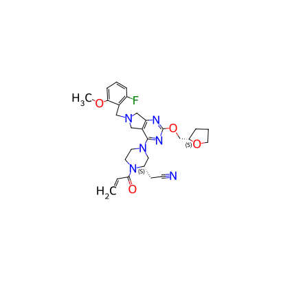 C=CC(=O)N1CCN(c2nc(OC[C@@H]3CCCO3)nc3c2CN(Cc2c(F)cccc2OC)C3)C[C@@H]1CC#N